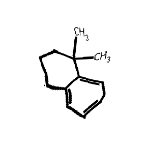 CC1(C)CC[CH]c2ccccc21